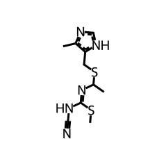 CS/C(=N\C(C)SCc1[nH]cnc1C)NC#N